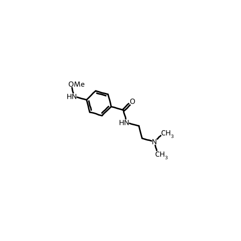 CONc1ccc(C(=O)NCCN(C)C)cc1